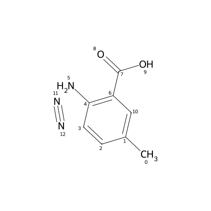 Cc1ccc(N)c(C(=O)O)c1.N#N